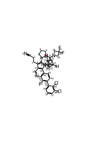 N#CCCc1c([C@H]2CCCN2C(=O)N2CC(F)(F)C2)n([C@H]2[C@H]3CN[C@@H]2C3)c2c1cnc1c(F)c(-c3cccc(Cl)c3Cl)ccc12